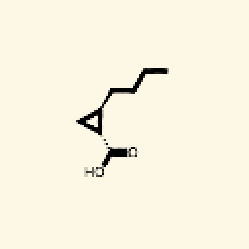 CCCC[C@@H]1C[C@H]1C(=O)O